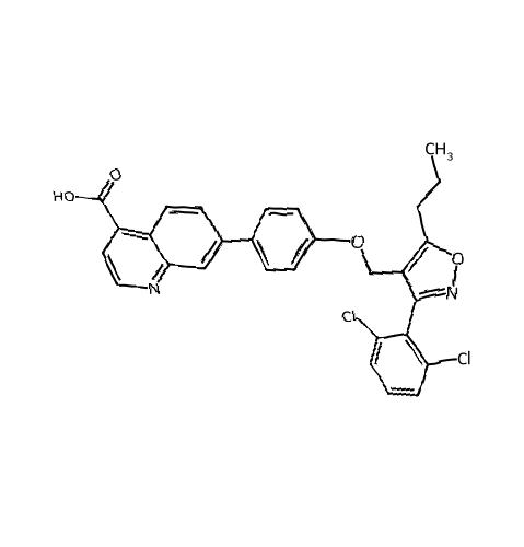 CCCc1onc(-c2c(Cl)cccc2Cl)c1COc1ccc(-c2ccc3c(C(=O)O)ccnc3c2)cc1